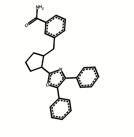 NC(=O)c1cccc(CC2CCCC2c2nc(-c3ccccc3)c(-c3ccccc3)o2)c1